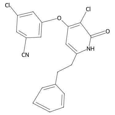 N#Cc1cc(Cl)cc(Oc2cc(CCc3ccccc3)[nH]c(=O)c2Cl)c1